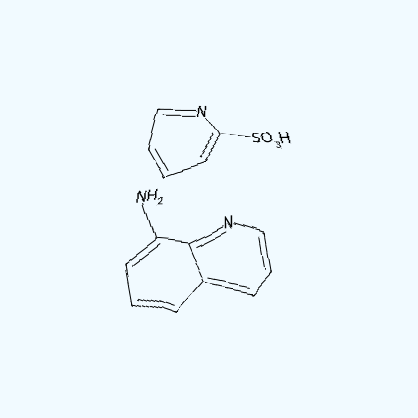 Nc1cccc2cccnc12.O=S(=O)(O)c1ccccn1